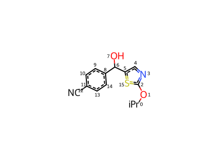 CC(C)Oc1ncc(C(O)c2ccc(C#N)cc2)s1